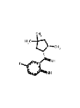 CN1CC(C)(C)C[C@H]1C(=N)n1cc(F)ccc1=N